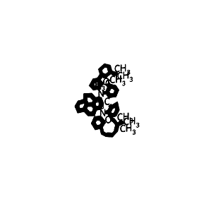 Cc1ccccc1N(c1cccc2c1OC/C(C(C)(C)C)=C\C=C/C2)c1cc(N(c2ccccc2C)c2cccc3c4c(oc23)C(C(C)(C)C)=CCC4)c2ccc3cccc4ccc1c2c43